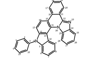 c1ccc(-n2c3ccccc3c3c2ccc2c4ccccc4c4nc5ccccc5n4c23)cc1